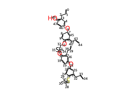 C=CCc1cc(Oc2ccc(OC[Si](C)(C)Oc3ccc(Oc4ccc(S[Si](C)(C)C)c(CC=C)c4)cc3CC=C)c(CC=C)c2)ccc1O